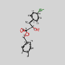 Cc1ccc(COC(=O)[C@H](O)Cc2ccc(Br)cc2)cc1